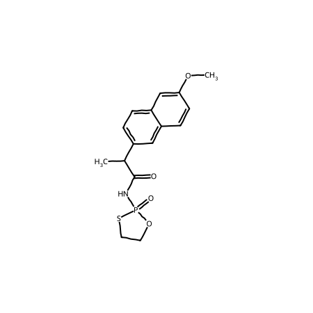 COc1ccc2cc(C(C)C(=O)NP3(=O)OCCS3)ccc2c1